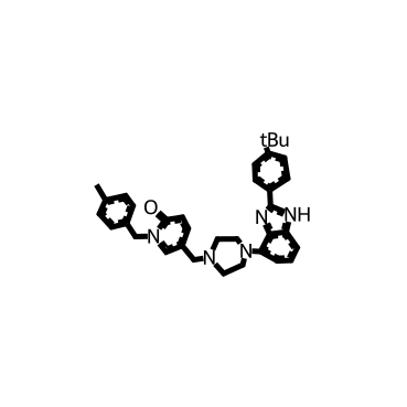 Cc1ccc(Cn2cc(CN3CCN(c4cccc5[nH]c(-c6ccc(C(C)(C)C)cc6)nc45)CC3)ccc2=O)cc1